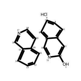 Cl.Oc1cc2ccccc2cn1.c1ccc2cnccc2c1